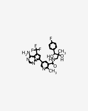 Cc1ncc(-c2cc(C(F)(F)F)c3c(N)ncnn23)cc1C(=O)NCC(C)(O)C(O)c1ccc(F)cc1